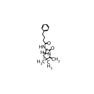 C=C1N2C(=O)[C@@H](NC(=O)CCCc3ccccc3)[C@H]2SC1(C)C